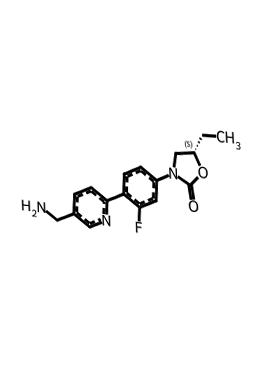 CC[C@H]1CN(c2ccc(-c3ccc(CN)cn3)c(F)c2)C(=O)O1